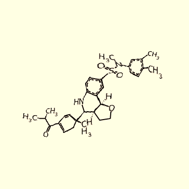 Cc1ccc(N(C)S(=O)(=O)c2ccc3c(c2)[C@H]2OCC[C@H]2[C@@H](C2(C)C=CC(C(=O)C(C)C)=CC2)N3)cc1C